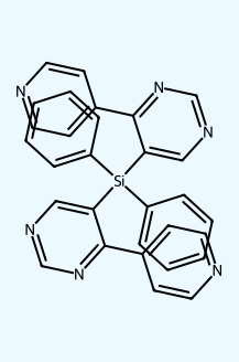 c1ccc([Si](c2ccccc2)(c2cncnc2-c2ccncc2)c2cncnc2-c2ccncc2)cc1